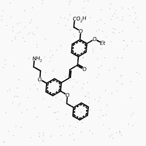 CCOc1cc(C(=O)/C=C/c2cc(OCCN)ccc2OCc2ccccc2)ccc1OCC(=O)O